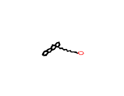 O=CCCCCCCCCc1cccc2cc3cc4ccccc4cc3cc12